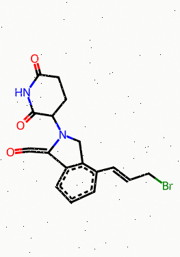 O=C=C1c2cccc(C=CCBr)c2CN1C1CCC(=O)NC1=O